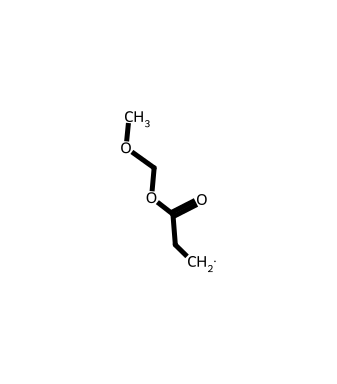 [CH2]CC(=O)OCOC